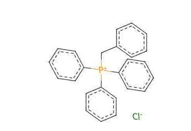 [Cl-].c1ccc(C[P+](c2ccccc2)(c2ccccc2)c2ccccc2)cc1